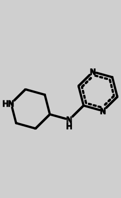 c1cnc(NC2CCNCC2)cn1